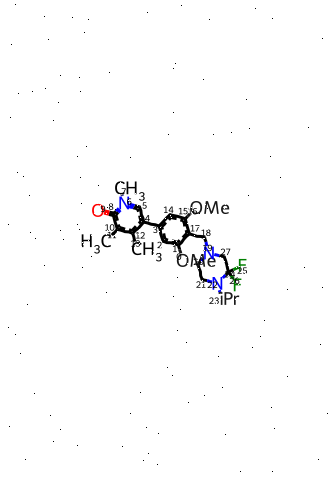 COc1cc(-c2cn(C)c(=O)c(C)c2C)cc(OC)c1CN1CCN(C(C)C)C(F)(F)C1